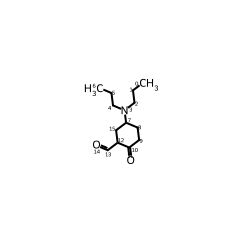 CCCN(CCC)C1CCC(=O)C(C=O)C1